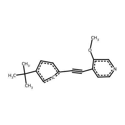 COc1cnccc1C#Cc1ccc(C(C)(C)C)cc1